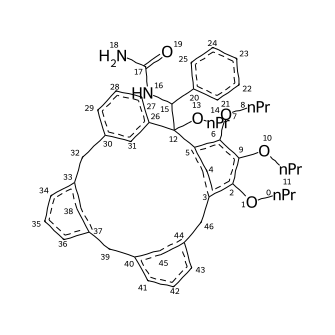 CCCOc1c2cc(c(OCCC)c1OCCC)C(OCCC)(C(NC(N)=O)c1ccccc1)c1cccc(c1)Cc1cccc(c1)Cc1cccc(c1)C2